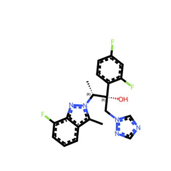 Cc1c2cccc(F)c2nn1[C@H](C)[C@](O)(Cn1cncn1)c1ccc(F)cc1F